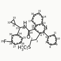 CSCCc1c(-c2ccccc2)nc2ccccc2c1C(=O)NC(c1cccc(F)c1)C1CC1